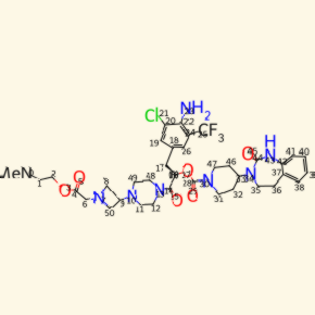 CNCCOC(=O)CN1CC(N2CCN(C(=O)[C@@H](Cc3cc(Cl)c(N)c(C(F)(F)F)c3)OC(=O)N3CCC(N4CCc5ccccc5NC4=O)CC3)CC2)C1